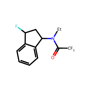 CCN(C(=O)C(F)(F)F)C1CC(F)c2ccccc21